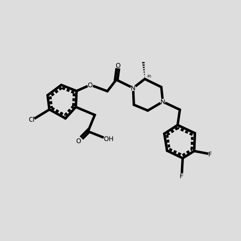 C[C@@H]1CN(Cc2ccc(F)c(F)c2)CCN1C(=O)COc1ccc(Cl)cc1CC(=O)O